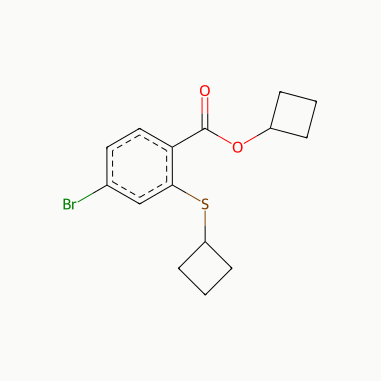 O=C(OC1CCC1)c1ccc(Br)cc1SC1CCC1